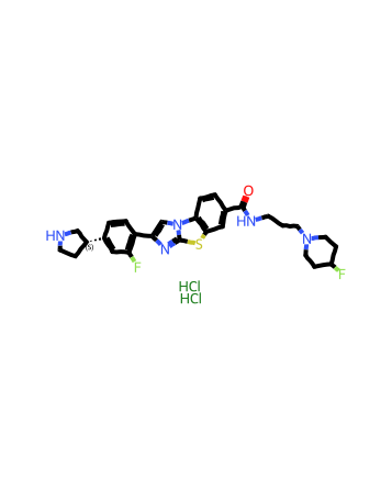 Cl.Cl.O=C(NCCCN1CCC(F)CC1)c1ccc2c(c1)sc1nc(-c3ccc([C@@H]4CCNC4)cc3F)cn12